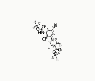 C[C@@H]1CN(c2cc(C#N)cc(NC(=O)OC(C)(C)C)c2Cl)C[C@@H](C)N1C(=O)OC(C)(C)C